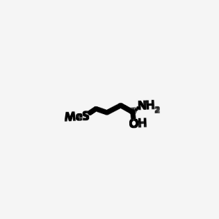 CSCCC[C@H](N)O